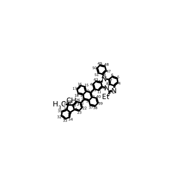 CCc1nc2cccc3c2n1-c1cc(-c2c4ccccc4c(-c4ccc5c(c4)C(C)(C)c4ccccc4-5)c4ccccc24)ccc1N3c1ccccc1